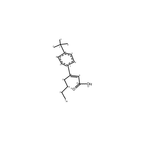 CC(C)(C)c1ccc(C(=CC(=O)O)CCCI)cc1